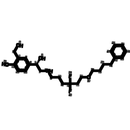 OCc1cc([C@H](O)CNCCCC(F)(F)CCOCCCCc2ccccc2)ccc1O